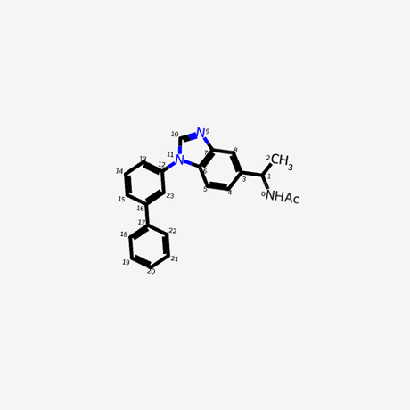 CC(=O)NC(C)c1ccc2c(c1)ncn2-c1cccc(-c2ccccc2)c1